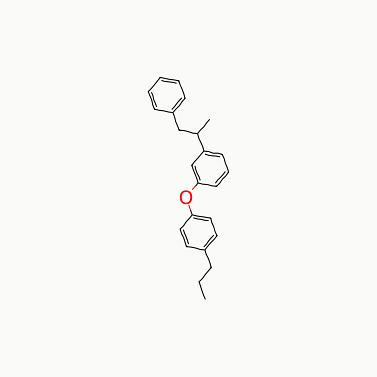 CCCc1ccc(Oc2cccc(C(C)Cc3ccccc3)c2)cc1